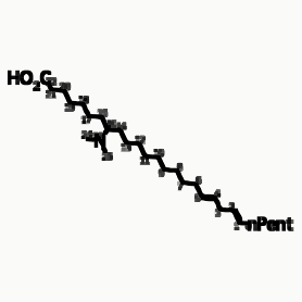 CCCCCC=CCC=CCCCCCCCCCC(CCCCCCC(=O)O)N(C)C